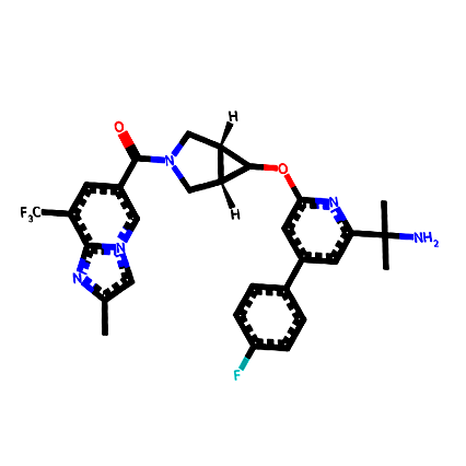 Cc1cn2cc(C(=O)N3C[C@@H]4C(Oc5cc(-c6ccc(F)cc6)cc(C(C)(C)N)n5)[C@@H]4C3)cc(C(F)(F)F)c2n1